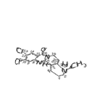 CN1CCC[C@@H]2c3nc4cc(Cl)c(Cl)cc4c(=O)n3CC[C@H]21